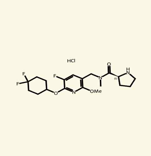 COc1nc(OC2CCC(F)(F)CC2)c(F)cc1CN(C)C(=O)[C@@H]1CCCN1.Cl